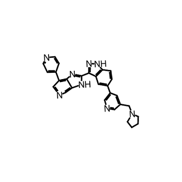 c1cc(-c2cncc3[nH]c(-c4n[nH]c5ccc(-c6cncc(CN7CCCC7)c6)cc45)nc23)ccn1